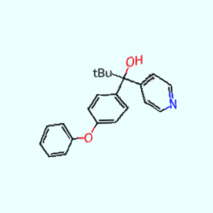 CC(C)(C)C(O)(c1ccncc1)c1ccc(Oc2ccccc2)cc1